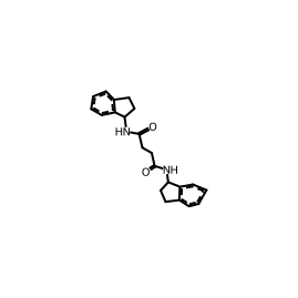 O=C(CCC(=O)NC1CCc2ccccc21)NC1CCc2ccccc21